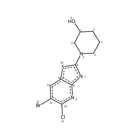 OC1CCCN(c2nc3nc(Cl)c(Br)cc3s2)C1